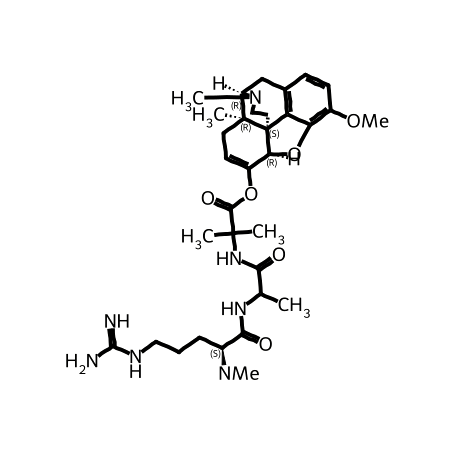 CN[C@@H](CCCNC(=N)N)C(=O)NC(C)C(=O)NC(C)(C)C(=O)OC1=CC[C@@]2(C)[C@H]3Cc4ccc(OC)c5c4[C@@]2(CCN3C)[C@H]1O5